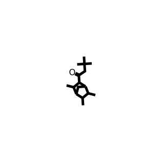 CC1C(C)C2CC1C(C)C2C(=O)CC(C)(C)C